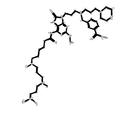 CCCCOc1nc(NC(=O)CCCCCN(CC)CCCN(C)CCCN(CC)CC)c2[nH]c(=O)n(CCCN(CCCN3CCOCC3)Cc3cccc(C(=O)OC)c3)c2n1